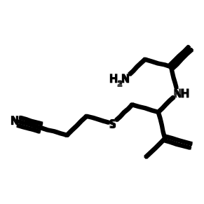 C=C(CN)NC(CSCCC#N)C(=C)C